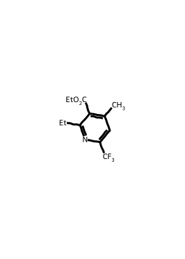 CCOC(=O)c1c(C)cc(C(F)(F)F)nc1CC